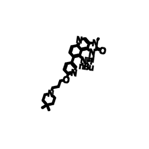 CCCCNc1c(-c2ccc(OCCCN3CCC(C)(C)CC3)nc2)ccc2ncc3c([nH]c(=O)n3C)c12